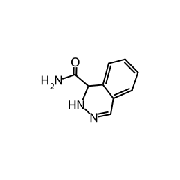 NC(=O)C1NN=Cc2ccccc21